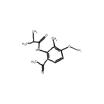 COc1ccc(C(C)=O)c(NC(=O)C(C)C)c1C